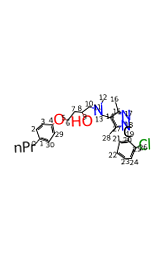 CCCc1ccc(OCCC(O)CN(C)Cc2c(C)nn(Cc3ccccc3Cl)c2C)cc1